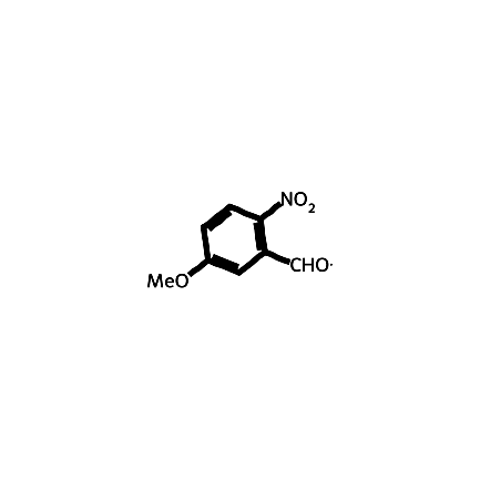 COc1ccc([N+](=O)[O-])c([C]=O)c1